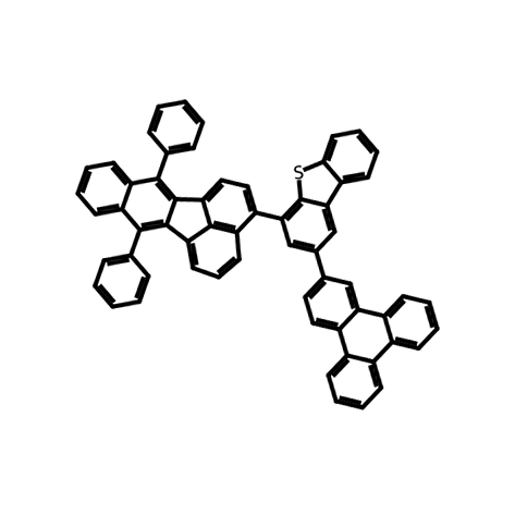 c1ccc(-c2c3c(c(-c4ccccc4)c4ccccc24)-c2ccc(-c4cc(-c5ccc6c7ccccc7c7ccccc7c6c5)cc5c4sc4ccccc45)c4cccc-3c24)cc1